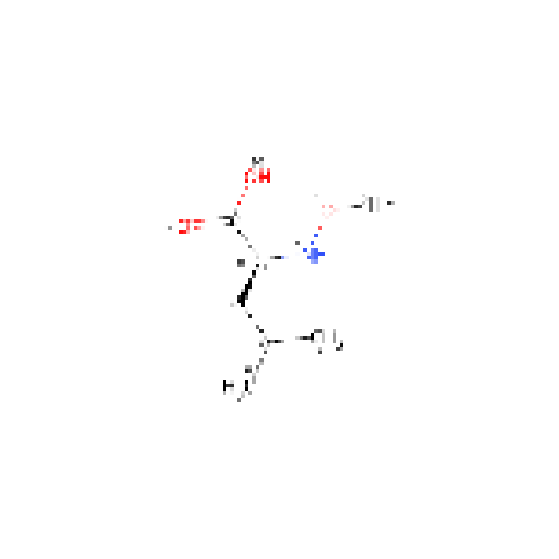 [2H]ON[C@@H](CC(C)C)C(=O)O